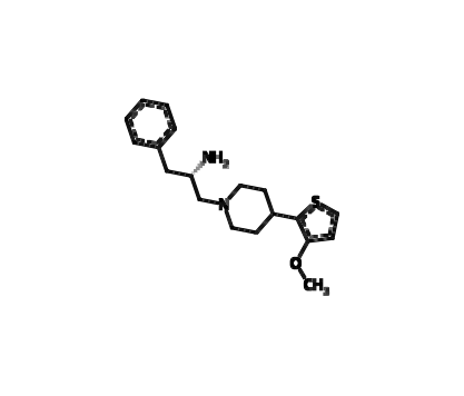 COc1ccsc1C1CCN(C[C@@H](N)Cc2ccccc2)CC1